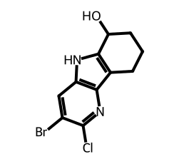 OC1CCCc2c1[nH]c1cc(Br)c(Cl)nc21